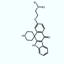 CCN(CC)CCOc1ccc2c(c1)C1(CCNCC1)c1[nH]c3ccccc3c1C2=O